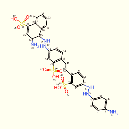 Nc1ccc(NNc2ccc(CCc3ccc(NNC4c5ccccc5C(S(=O)(=O)O)=CC4N)cc3S(=O)(=O)O)c(S(=O)(=O)O)c2)cc1